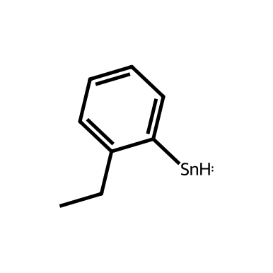 CCc1cccc[c]1[SnH]